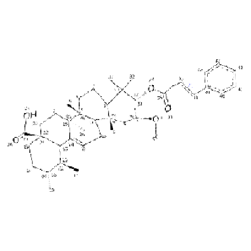 CO[C@H]1C[C@@]2(C)C(CC[C@]3(C)C2CC=C2C4[C@@H](C)[C@H](C)CC[C@]4(C(=O)O)CC[C@]23C)C(C)(C)[C@@H]1OC(=O)/C=C/c1ccccc1